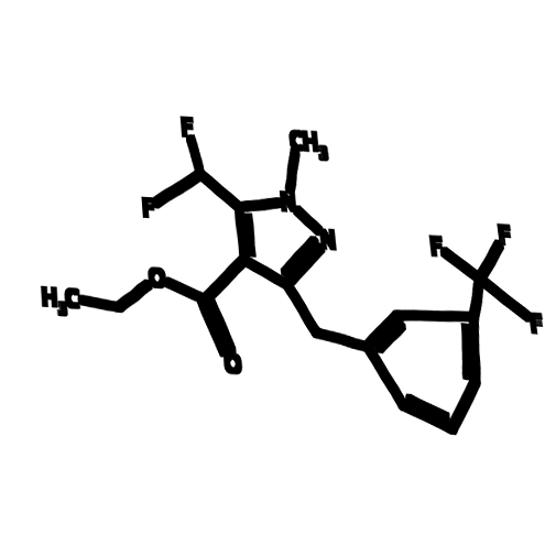 CCOC(=O)c1c(Cc2cccc(C(F)(F)F)c2)nn(C)c1C(F)F